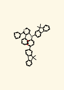 CC1(C)c2ccccc2-c2ccc(-c3ccc(N(c4ccc5c(c4)C(C)(C)c4ccccc4-5)c4cccc(-c5ccccc5)c4-c4ccccc4)cc3)cc21